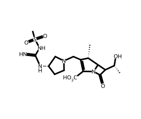 C[C@@H](O)C1C(=O)N2C(C(=O)O)=C(CN3CC[C@H](NC(=N)NS(C)(=O)=O)C3)[C@H](C)C12